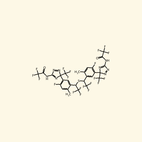 Cc1cc(F)c(C2(C(F)(F)F)N=NC(NC(=O)C(F)(F)F)=N2)cc1C(SC(c1cc(C2(C(F)(F)F)N=NC(NC(=O)C(F)(F)F)=N2)c(F)cc1C)C(F)(F)F)C(F)(F)F